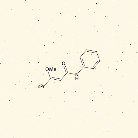 CCCC(=CC(=O)Nc1ccccc1)OC